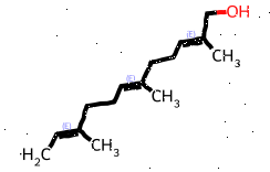 [CH2]/C=C(\C)CC/C=C(\C)CC/C=C(\C)CO